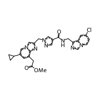 COC(=O)Cc1cc(C2CC2)cn2cc(Cn3cc(C(=O)NCc4ncn5ccc(Cl)cc45)cn3)nc12